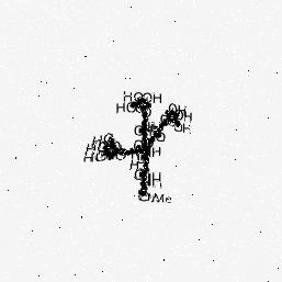 COCCCNC(=O)CCCC(=O)NC(COCCC(=O)NCCCO[C@@H]1OC(CO)C(O)[C@H](O)C1C)(COCCC(=O)NCCCO[C@@H]1OC(CO)C(O)[C@H](O)C1C)CC(=O)NCCCO[C@@H]1OC(CO)C(O)[C@H](O)C1C